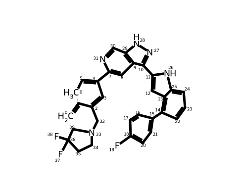 C=C/C(=C\C(=C/C)c1cc2c(-c3cc4c(-c5ccc(F)cc5)cccc4[nH]3)n[nH]c2cn1)CN1CCC(F)(F)C1